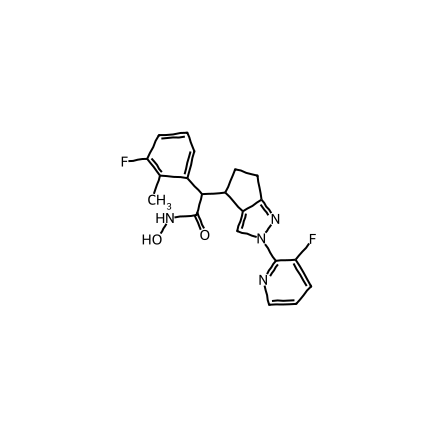 Cc1c(F)cccc1C(C(=O)NO)C1CCc2nn(-c3ncccc3F)cc21